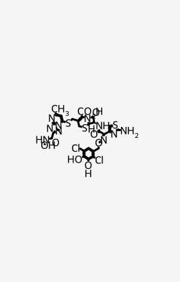 Cc1cc(SCC2=C(C(=O)O)N3C(=O)[C@@H](NC(=O)/C(=N\OCc4cc(Cl)c(O)c(O)c4Cl)c4csc(N)n4)[C@H]3SC2)n2nc(C(=O)NO)nc2n1